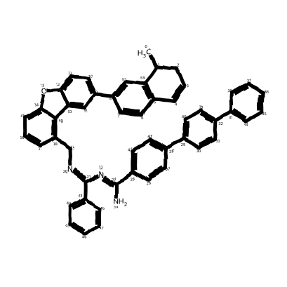 CC1CC=Cc2ccc(-c3ccc4oc5cccc(C/N=C(\N=C(/N)c6ccc(-c7ccc(-c8ccccc8)cc7)cc6)c6ccccc6)c5c4c3)cc21